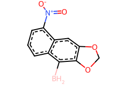 Bc1c2c(cc3c([N+](=O)[O-])cccc13)OCO2